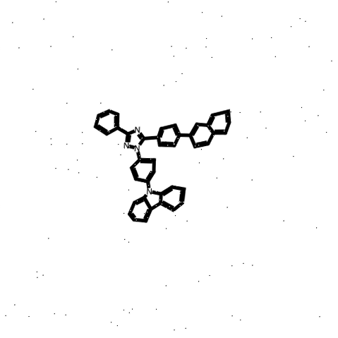 c1ccc(-c2nc(-c3ccc(-c4ccc5ccccc5c4)cc3)n(-c3ccc(-n4c5ccccc5c5ccccc54)cc3)n2)cc1